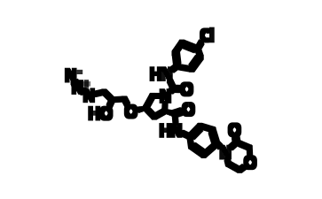 [N-]=[N+]=NCC(O)CO[C@@H]1C[C@H](C(=O)Nc2ccc(N3CCOCC3=O)cc2)N(C(=O)Nc2ccc(Cl)cc2)C1